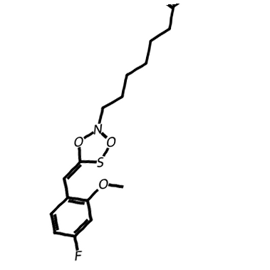 COc1cc(F)ccc1C=C1ON(CCCCCCC(=O)O)OS1